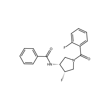 O=C(N[C@@H]1CN(C(=O)c2ccccc2F)C[C@@H]1F)c1ccccc1